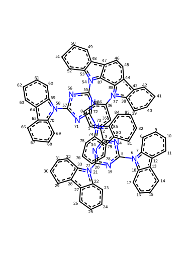 c1cc(-c2nc(-n3c4ccccc4c4ccccc43)nc(-n3c4ccccc4c4ccccc43)n2)cc(-n2c3ccccc3c3ccc4c5ccccc5n(-c5nc(-n6c7ccccc7c7ccccc76)nc(-n6c7ccccc7c7ccccc76)n5)c4c32)c1